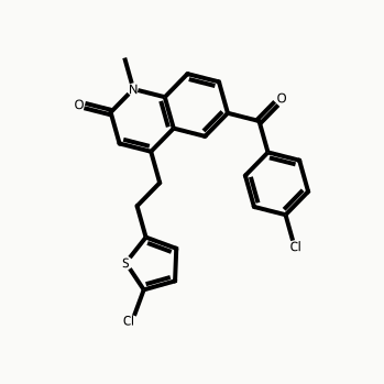 Cn1c(=O)cc(CCc2ccc(Cl)s2)c2cc(C(=O)c3ccc(Cl)cc3)ccc21